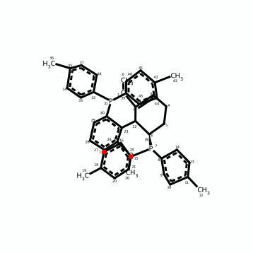 COC1=CCC[C@@H](P(c2ccc(C)cc2)c2ccc(C)cc2)C1c1c(OC)cccc1P(c1ccc(C)cc1)c1ccc(C)cc1